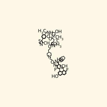 C#Cc1c(F)ccc2cc(O)cc(-c3ncc4c(N5CC6CCC(C5)N6)nc(OCCN5CCC(CCOc6cc([C@H](C(=O)N7C[C@H](O)C[C@H]7C(=O)N[C@@H](C)c7ccc(-c8scnc8C)cc7)C(C)C)on6)CC5)nc4c3F)c12